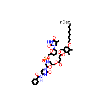 CCCCCCCCCCCCCCCCCCOc1cc(COC(=O)CCC(=O)OCC2CN(P(C)(=O)OCC3CCCC(n4cc(C)c(=O)[nH]c4=O)O3)CC(n3ccc(NC(=O)c4ccccc4)nc3=O)O2)cc(C)c1C